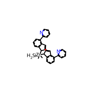 CC1=Cc2c(-c3ccccn3)cccc2[CH]1[Zr]([CH3])([CH3])(=[SiH2])[CH]1C(C)=Cc2c(-c3ccccn3)cccc21